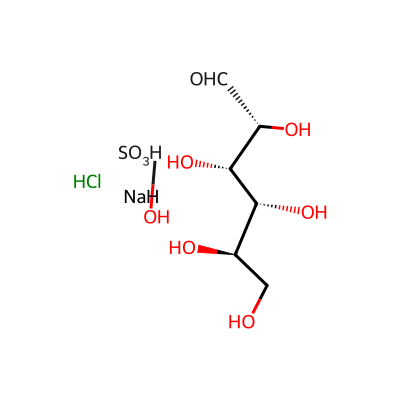 Cl.O=C[C@H](O)[C@@H](O)[C@H](O)[C@H](O)CO.O=S(=O)(O)O.[NaH]